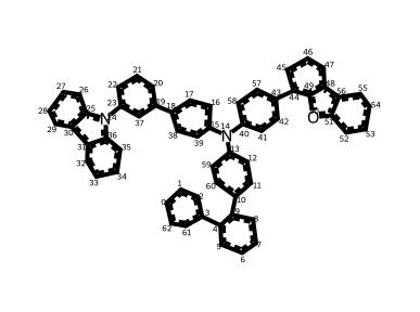 c1ccc(-c2ccccc2-c2ccc(N(c3ccc(-c4cccc(-n5c6ccccc6c6ccccc65)c4)cc3)c3ccc(-c4cccc5c4oc4ccccc45)cc3)cc2)cc1